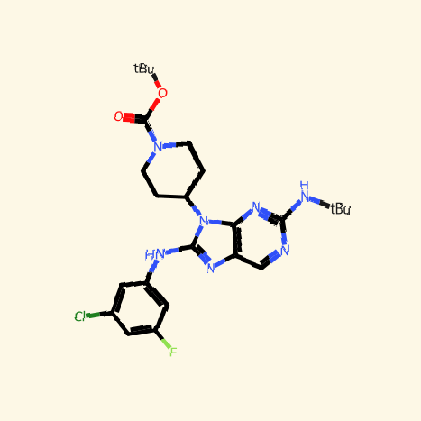 CC(C)(C)Nc1ncc2nc(Nc3cc(F)cc(Cl)c3)n(C3CCN(C(=O)OC(C)(C)C)CC3)c2n1